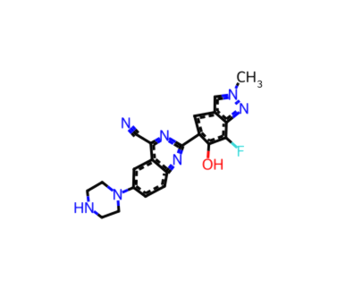 Cn1cc2cc(-c3nc(C#N)c4cc(N5CCNCC5)ccc4n3)c(O)c(F)c2n1